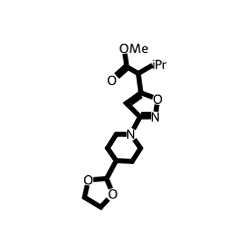 COC(=O)C(c1cc(N2CCC(C3OCCO3)CC2)no1)C(C)C